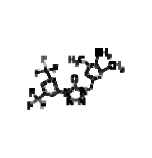 Cc1cc(Cn2nnn(-c3cc(C(F)(F)F)cc(C(F)(F)F)c3)c2=O)cc(C)c1N